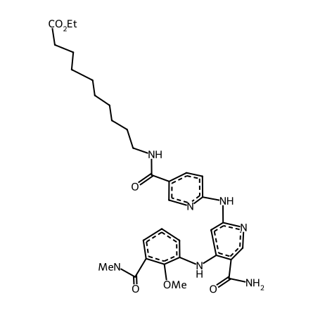 CCOC(=O)CCCCCCCCCNC(=O)c1ccc(Nc2cc(Nc3cccc(C(=O)NC)c3OC)c(C(N)=O)cn2)nc1